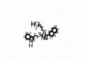 Cl.NCCCn1c(SCCc2c[nH]c3ccccc23)nnc1-c1ccc2ccccc2c1